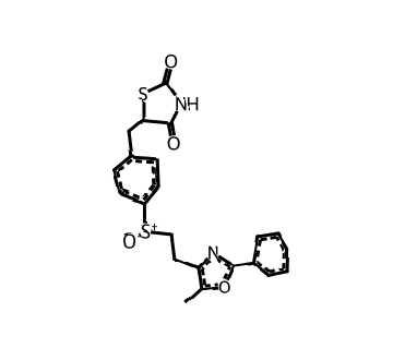 Cc1oc(-c2ccccc2)nc1CC[S+]([O-])c1ccc(CC2SC(=O)NC2=O)cc1